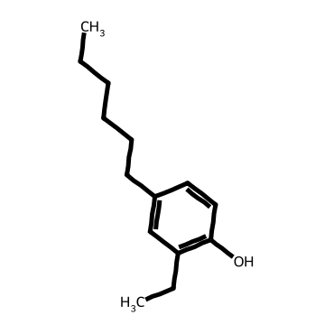 CCCCCCc1ccc(O)c(CC)c1